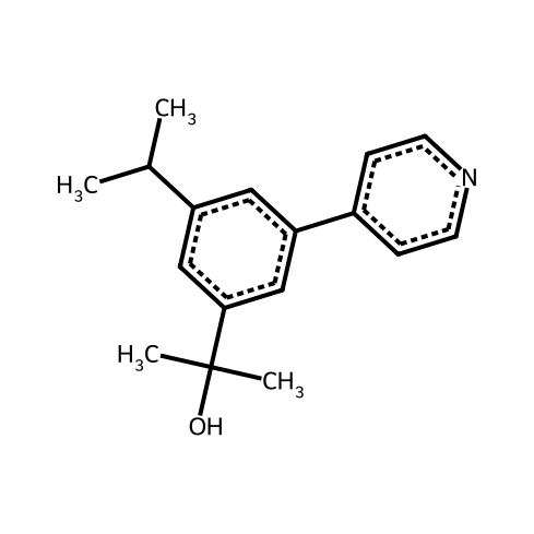 CC(C)c1cc(-c2ccncc2)cc(C(C)(C)O)c1